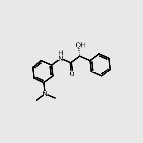 CN(C)c1cccc(NC(=O)[C@H](O)c2ccccc2)c1